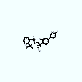 CC(F)(CNC(=O)c1cccnc1C(F)(F)F)c1ccc(-c2ccc(F)nc2)cc1Cl